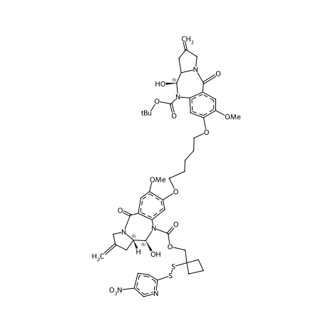 C=C1CC2[C@H](O)N(C(=O)OC(C)(C)C)c3cc(OCCCCCOc4cc5c(cc4OC)C(=O)N4CC(=C)C[C@H]4[C@H](O)N5C(=O)OCC4(SSc5ccc([N+](=O)[O-])cn5)CCC4)c(OC)cc3C(=O)N2C1